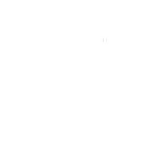 O=COCc1cccc(C(=O)OC2CCCC2)c1